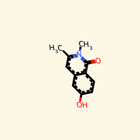 Cc1cc2cc(O)ccc2c(=O)n1C